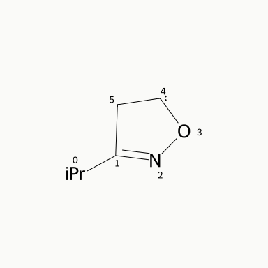 CC(C)C1=NO[C]C1